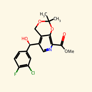 COC(=O)c1ncc([C@H](O)c2ccc(F)c(Cl)c2)c2c1OC(C)(C)OC2